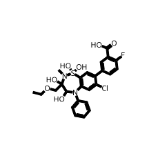 CCOCC1(O)C(O)N(c2ccccc2)c2cc(Cl)c(-c3ccc(F)c(C(=O)O)c3)cc2S(O)(O)N1C